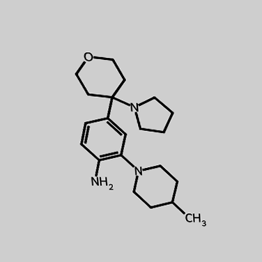 CC1CCN(c2cc(C3(N4CCCC4)CCOCC3)ccc2N)CC1